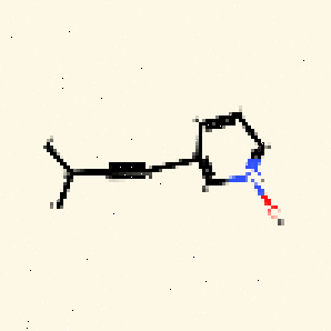 CC(C)C#Cc1ccc[n+]([O-])c1